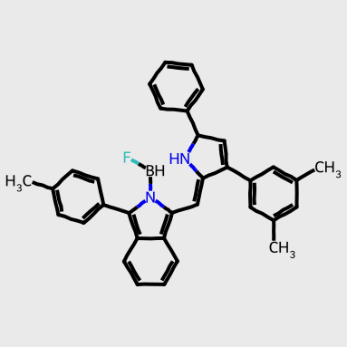 Cc1ccc(-c2c3ccccc3c(/C=C3\NC(c4ccccc4)C=C3c3cc(C)cc(C)c3)n2BF)cc1